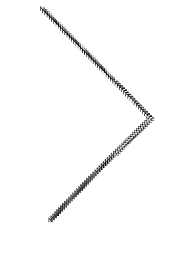 [Fe].[Fe].[Fe].[Fe].[Fe].[Fe].[Fe].[Fe].[Fe].[Fe].[Fe].[Fe].[Fe].[Fe].[Fe].[Fe].[Fe].[Fe].[Fe].[Fe].[Fe].[Fe].[Fe].[Fe].[Fe].[Fe].[Fe].[Fe].[Fe].[Fe].[Fe].[Fe].[Fe].[Fe].[Fe].[Ni].[Ni].[Ni].[Ni].[Ni].[Ni].[Ni].[Ni].[Ni].[Ni].[Ni].[Ni].[Ni].[Ni].[Ni].[Ni].[Ni].[Ni].[Ni].[Ni].[Ni].[Ni].[Ni].[Ni].[Ni].[Ni].[Ni].[Ni].[Ni].[Ni].[Ni].[Ni].[Ni].[Ni].[Ni].[Ni].[Ni].[Ni].[Ni].[Ni].[Ni].[Ni].[Ni].[Ni].[Ni].[Ni].[Ni].[Ni].[Ni].[Ni].[Ni].[Ni].[Ni].[Ni].[Ni].[Ni].[Ni].[Ni].[Ni].[Ni].[Ni].[Ni].[Ni].[Ni].[Ni]